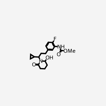 COC(=O)Nc1cc(CCC(C2CC2)N2C(=O)CCCC2O)ccc1F